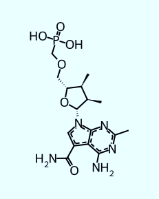 Cc1nc(N)c2c(C(N)=O)cn([C@@H]3O[C@H](COCP(=O)(O)O)[C@@H](C)[C@H]3C)c2n1